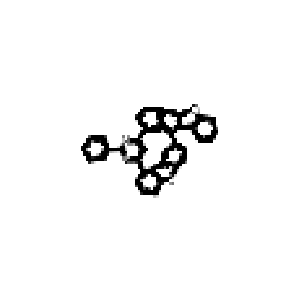 c1ccc(-c2cc(-c3cccc4sc5ccc(-c6cccc7oc8ccccc8c67)cc5c34)nc(-c3ccccc3)n2)cc1